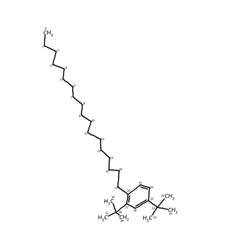 CCCCCCCCCCCCCCCCC[CH]c1ccc(C(C)(C)C)cc1C(C)(C)C